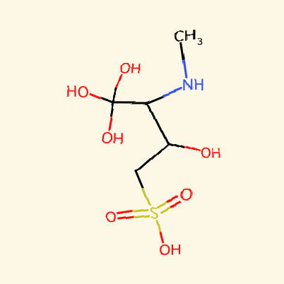 CNC(C(O)CS(=O)(=O)O)C(O)(O)O